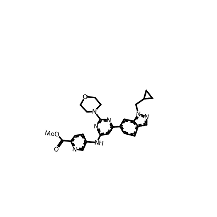 COC(=O)c1ccc(Nc2cc(-c3ccc4cnn(CC5CC5)c4c3)nc(N3CCOCC3)n2)cn1